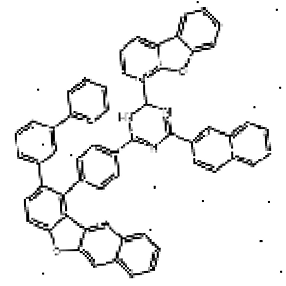 c1ccc(-c2cccc(-c3ccc4oc5cc6ccccc6cc5c4c3-c3ccc(C4=NC(c5ccc6ccccc6c5)=NC(c5cccc6c5oc5ccccc56)N4)cc3)c2)cc1